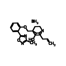 B.C=CCC1C(O)C2(COc3ccccc3-c3nc(C)no3)CCN1CC2